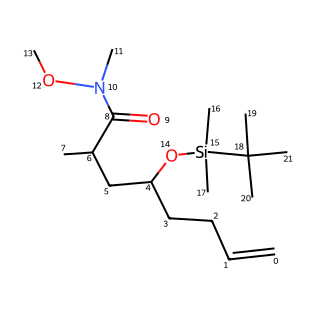 C=CCCC(CC(C)C(=O)N(C)OC)O[Si](C)(C)C(C)(C)C